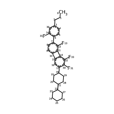 CCCc1ccc(-c2ccc3c(c2F)-c2c-3cc(C3CCC(C4CCCCC4)CC3)c(F)c2F)c(F)c1